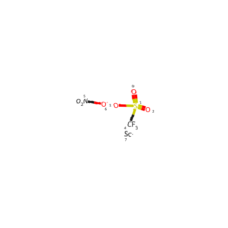 O=S(=O)([O-])C(F)(F)F.O=[N+]([O-])[O-].[Sc]